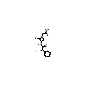 O=C(O)CN1CC(NC(=O)C(O)c2ccccc2)C1=O